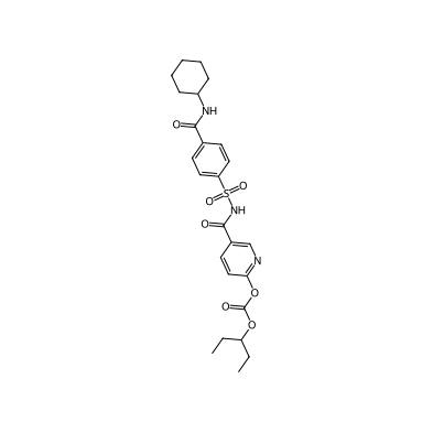 CCC(CC)OC(=O)Oc1ccc(C(=O)NS(=O)(=O)c2ccc(C(=O)NC3CCCCC3)cc2)cn1